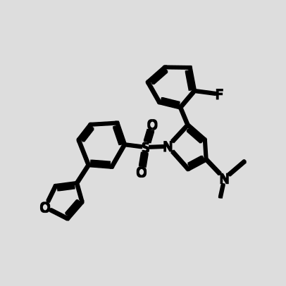 CN(C)c1cc(-c2ccccc2F)n(S(=O)(=O)c2cccc(-c3ccoc3)c2)c1